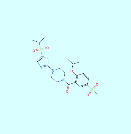 CC(C)Oc1ccc(S(C)(=O)=O)cc1C(=O)N1CCN(c2ncc(S(=O)(=O)C(C)C)s2)CC1